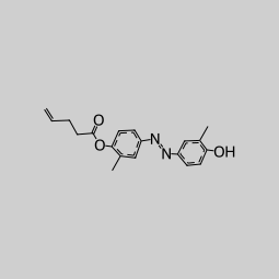 C=CCCC(=O)Oc1ccc(N=Nc2ccc(O)c(C)c2)cc1C